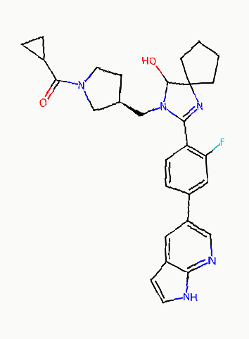 O=C(C1CC1)N1CC[C@@H](CN2C(c3ccc(-c4cnc5[nH]ccc5c4)cc3F)=NC3(CCCC3)C2O)C1